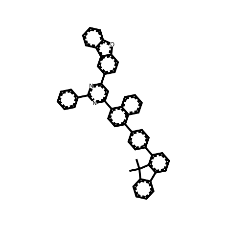 CC1(C)c2ccccc2-c2cccc(-c3ccc(-c4ccc(-c5cc(-c6ccc7oc8ccccc8c7c6)nc(-c6ccccc6)n5)c5ccccc45)cc3)c21